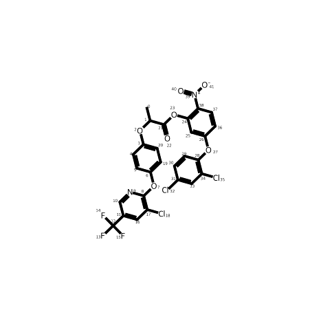 CC(Oc1ccc(Oc2ncc(C(F)(F)F)cc2Cl)cc1)C(=O)Oc1cc(Oc2ccc(Cl)cc2Cl)ccc1[N+](=O)[O-]